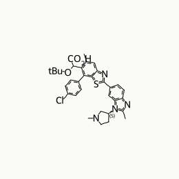 Cc1cc2nc(-c3ccc4nc(C)n([C@H]5CCN(C)C5)c4c3)sc2c(-c2ccc(Cl)cc2)c1C(OC(C)(C)C)C(=O)O